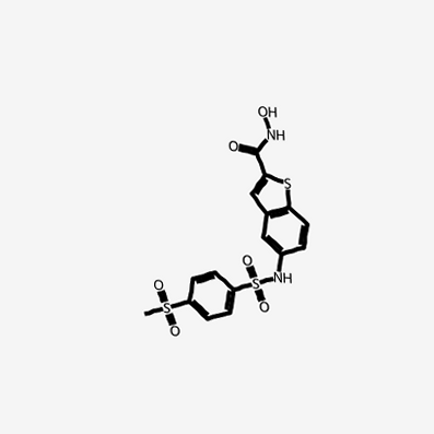 CS(=O)(=O)c1ccc(S(=O)(=O)Nc2ccc3sc(C(=O)NO)cc3c2)cc1